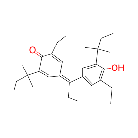 CCC1=CC(=C(CC)c2cc(CC)c(O)c(C(C)(C)CC)c2)C=C(C(C)(C)CC)C1=O